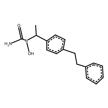 CC(c1ccc(CCc2ccccc2)cc1)N(O)C(N)=O